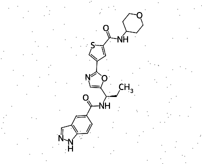 CC[C@@H](NC(=O)c1ccc2[nH]ncc2c1)c1cnc(-c2csc(C(=O)NC3CCOCC3)c2)o1